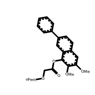 CCCCCOCC(=O)Oc1c(OC)c(OC)cc2ccc(-c3ccccc3)cc12